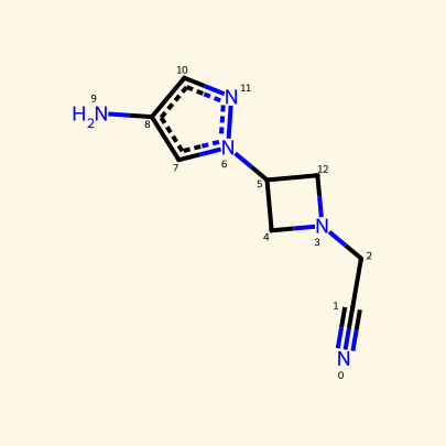 N#CCN1CC(n2cc(N)cn2)C1